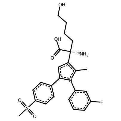 Cc1c([C@](N)(CCCCO)C(=O)O)cc(-c2ccc(S(C)(=O)=O)cc2)n1-c1cccc(F)c1